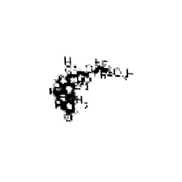 C[C@H](CCC(=O)OCC(F)C(F)(F)S(=O)(=O)O)[C@H]1CC[C@H]2[C@@H]3C(=O)C[C@@H]4CC(=O)CC[C@]4(N)[C@H]3CC(=O)[C@]12C